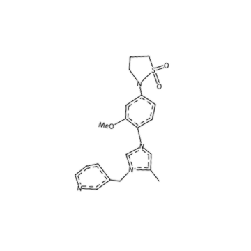 COc1cc(N2CCCS2(=O)=O)ccc1-n1cc(C)[n+](Cc2cccnc2)c1